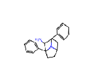 NC1CCC2CCC1(c1ccccc1)N2Cc1ccccc1